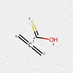 C=C=C.OC=S